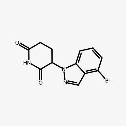 O=C1CCC(n2ncc3c(Br)cccc32)C(=O)N1